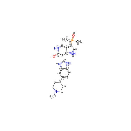 CN1CCC(c2ccc3[nH]c(-c4c(=O)[nH]cc5c(P(C)(C)=O)c[nH]c45)nc3c2)CC1